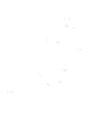 C=Cc1cc(Nc2cc(Nc3ccc(CC(C)(C)C)c(Cl)c3)ncn2)c(CC)cc1N(C)CCN(C)C